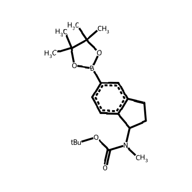 CN(C(=O)OC(C)(C)C)C1CCc2cc(B3OC(C)(C)C(C)(C)O3)ccc21